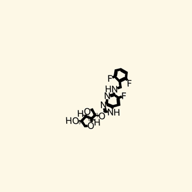 O[C@@H]1CO[C@H]2[C@@H]1OC[C@H]2Oc1nc2nc(NCc3c(F)cccc3F)c(F)cc2[nH]1